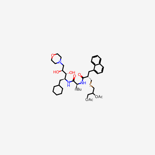 CCCC[C@H](NC(=O)[C@@H](CSCC(COC(C)=O)OC(C)=O)Cc1cccc2ccccc12)C(=O)N[C@@H](CC1CCCCC1)[C@@H](O)[C@@H](O)CN1CCOCC1